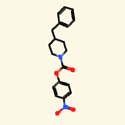 O=C(Oc1ccc([N+](=O)[O-])cc1)N1CCC(Cc2ccccc2)CC1